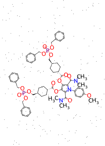 COc1ccc(-n2c(C(=O)N(C)C)c(OC(=O)[C@H]3CC[C@H](COP(=O)(OCc4ccccc4)OCc4ccccc4)CC3)c(OC(=O)[C@H]3CC[C@H](COP(=O)(OCc4ccccc4)OCc4ccccc4)CC3)c2C(=O)N(C)C)cc1